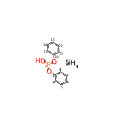 OP(Oc1ccccc1)Oc1ccccc1.[SiH4]